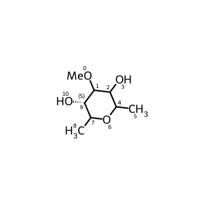 COC1C(O)C(C)OC(C)[C@@H]1O